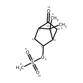 CC1(C)C2CC(OS(C)(=O)=O)C1CC2=O